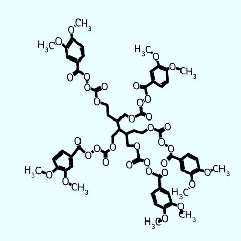 COc1ccc(C(=O)OOC(=O)OCCC(COC(=O)OOC(=O)c2ccc(OC)c(OC)c2)C(COC(=O)OOC(=O)c2ccc(OC)c(OC)c2)C(CCOC(=O)OOC(=O)c2ccc(OC)c(OC)c2)COC(=O)OOC(=O)c2ccc(OC)c(OC)c2)cc1OC